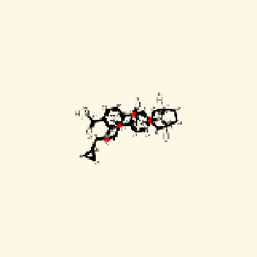 CCC(=O)c1ccc(N2[C@@H]3CC[C@H]2C[C@@H](NC(=O)c2ccc(C(N)=O)c(NCC4CC4)c2)C3)nc1